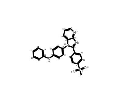 CS(=O)(=O)c1ccc(-c2nc3ncccc3n2-c2ccc(Sc3ccccc3)cc2)cc1